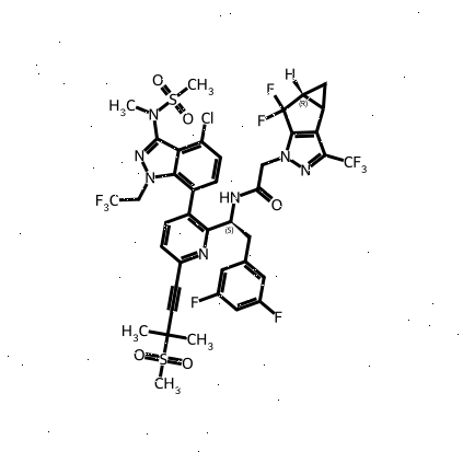 CN(c1nn(CC(F)(F)F)c2c(-c3ccc(C#CC(C)(C)S(C)(=O)=O)nc3[C@H](Cc3cc(F)cc(F)c3)NC(=O)Cn3nc(C(F)(F)F)c4c3C(F)(F)[C@@H]3CC43)ccc(Cl)c12)S(C)(=O)=O